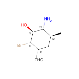 C[C@H]1C[C@H](C=O)[C@H](Br)[C@@H](O)[C@@H]1N